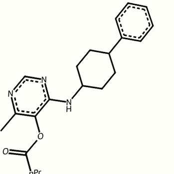 CCCC(=O)Oc1c(C)ncnc1NC1CCC(c2ccccc2)CC1